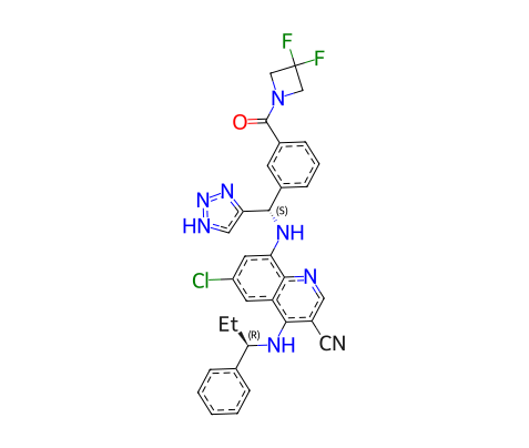 CC[C@@H](Nc1c(C#N)cnc2c(N[C@@H](c3cccc(C(=O)N4CC(F)(F)C4)c3)c3c[nH]nn3)cc(Cl)cc12)c1ccccc1